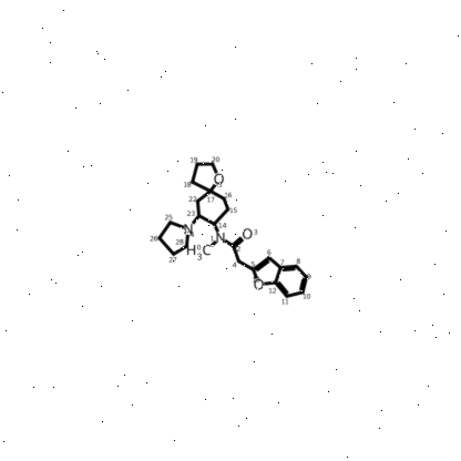 CN(C(=O)Cc1cc2ccccc2o1)C1CCC2(CCCO2)CC1N1CCCC1